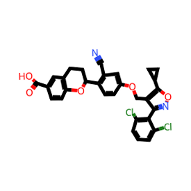 N#Cc1cc(OCc2c(-c3c(Cl)cccc3Cl)noc2C2CC2)ccc1C1CCc2cc(C(=O)O)ccc2O1